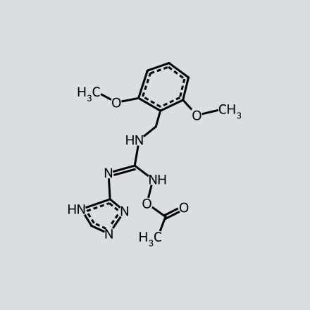 COc1cccc(OC)c1CNC(=Nc1nnc[nH]1)NOC(C)=O